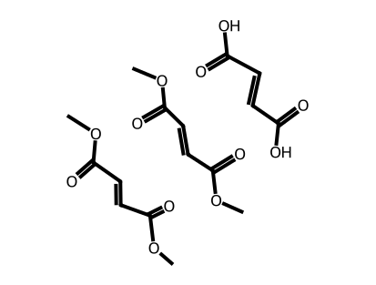 COC(=O)/C=C/C(=O)OC.COC(=O)/C=C/C(=O)OC.O=C(O)/C=C/C(=O)O